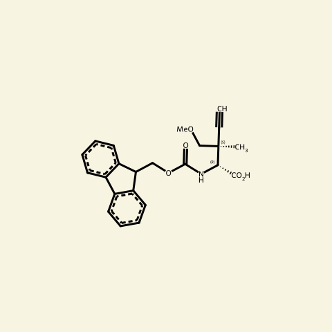 C#C[C@](C)(COC)[C@@H](NC(=O)OCC1c2ccccc2-c2ccccc21)C(=O)O